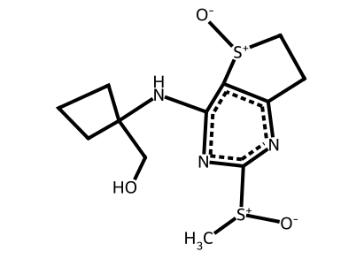 C[S+]([O-])c1nc2c(c(NC3(CO)CCC3)n1)[S+]([O-])CC2